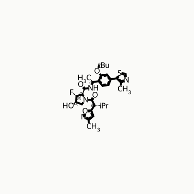 Cc1cc([C@H](C(=O)N2C[C@H](O)[C@H](F)[C@H]2C(=O)N[C@@H](C)c2ccc(-c3scnc3C)cc2OC(C)(C)C)C(C)C)on1